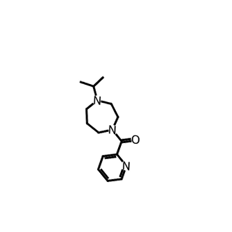 CC(C)N1CCCN(C(=O)c2ccccn2)CC1